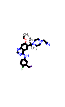 CCOc1cc2ncnc(Nc3ccc(F)c(CI)c3)c2cc1C(C)(C)N1CCN(CC#N)CC1